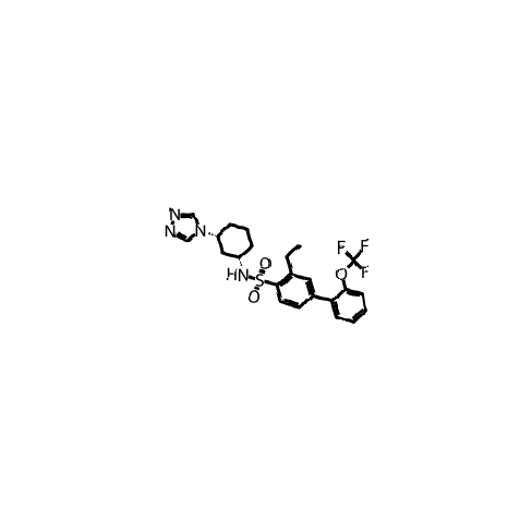 CCc1cc(-c2ccccc2OC(F)(F)F)ccc1S(=O)(=O)N[C@H]1CCC[C@@H](n2cnnc2)C1